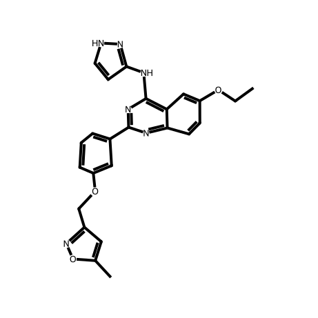 CCOc1ccc2nc(-c3cccc(OCc4cc(C)on4)c3)nc(Nc3cc[nH]n3)c2c1